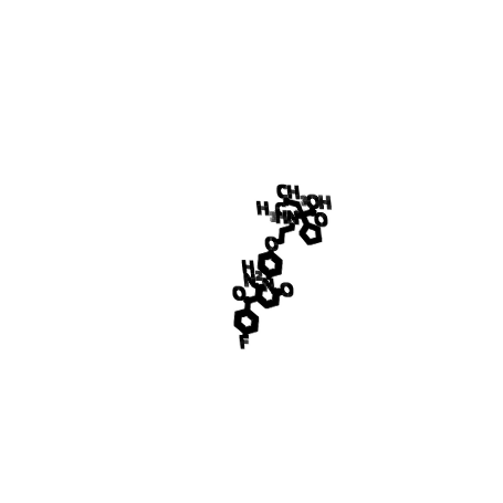 CC(C)C[C@@](NCCCOc1ccc(-n2c(N)c(C(=O)c3ccc(F)cc3)ccc2=O)cc1)(C(=O)O)C1CCCC1